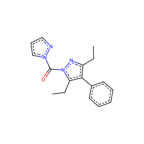 CCc1nn(C(=O)n2cccn2)c(CC)c1-c1ccccc1